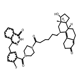 C[C@]12C[C@H](CCCCCC(=O)N3CCN(C(=O)c4cc(Cc5n[nH]c(=O)c6ccccc56)ccc4F)CC3)C3=C4CCC(=O)C=C4CC[C@H]3[C@@H]1CC[C@@H]2O